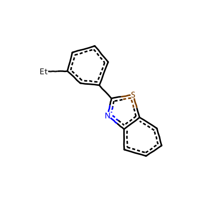 CCc1cccc(-c2nc3ccccc3s2)c1